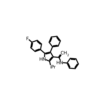 C=C(Nc1ccccc1)c1c(C(C)C)[nH]c(-c2ccc(F)cc2)c1-c1ccccc1